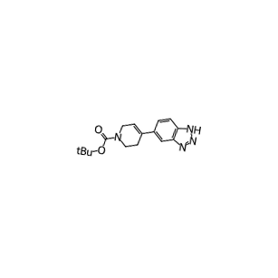 CC(C)(C)OC(=O)N1CC=C(c2ccc3[nH]nnc3c2)CC1